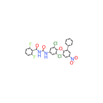 O=C(NC(=O)c1c(F)cccc1F)Nc1cc(Cl)c(Oc2ccc([N+](=O)[O-])cc2-c2ccccc2)c(Cl)c1